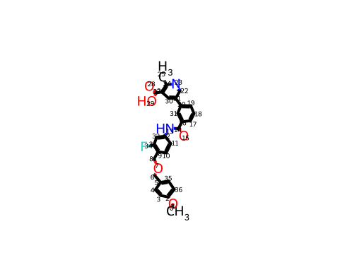 COc1ccc(COCc2ccc(NC(=O)c3cccc(-c4cnc(C)c(C(=O)O)c4)c3)cc2F)cc1